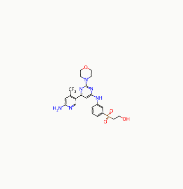 Nc1cc(C(F)(F)F)c(-c2cc(Nc3cccc(S(=O)(=O)CCO)c3)nc(N3CCOCC3)n2)cn1